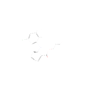 Cc1c(Nc2ccccc2C(=O)OCC(O)CO)cc(Br)cc1C(F)(F)F